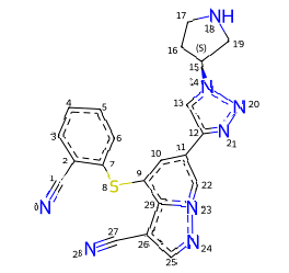 N#Cc1ccccc1Sc1cc(-c2cn([C@H]3CCNC3)nn2)cn2ncc(C#N)c12